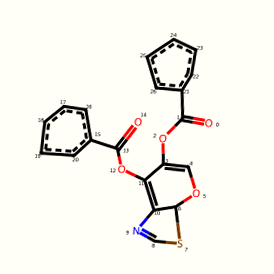 O=C(OC1=COC2SC=NC2=C1OC(=O)c1ccccc1)c1ccccc1